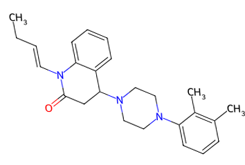 CCC=CN1C(=O)CC(N2CCN(c3cccc(C)c3C)CC2)c2ccccc21